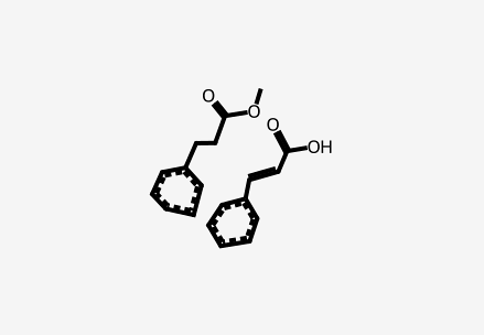 COC(=O)CCc1ccccc1.O=C(O)C=Cc1ccccc1